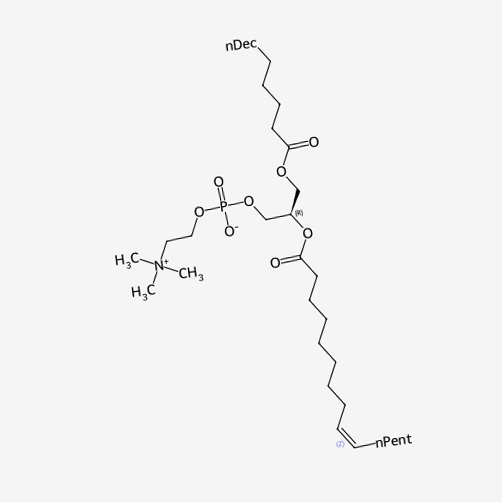 CCCCC/C=C\CCCCCCCC(=O)O[C@H](COC(=O)CCCCCCCCCCCCCC)COP(=O)([O-])OCC[N+](C)(C)C